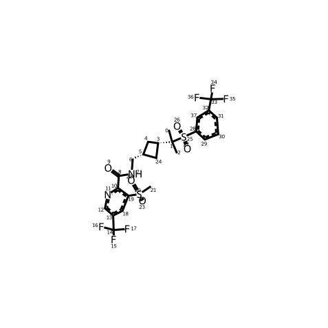 CC(C)([C@H]1C[C@@H](CNC(=O)c2ncc(C(F)(F)F)cc2S(C)(=O)=O)C1)S(=O)(=O)c1cccc(C(F)(F)F)c1